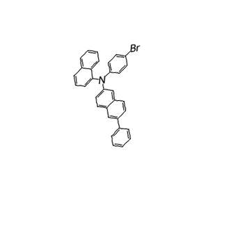 Brc1ccc(N(c2ccc3cc(-c4ccccc4)ccc3c2)c2cccc3ccccc23)cc1